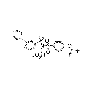 O=C(O)CN(C1(c2cccc(-c3ccccc3)c2)CC1)S(=O)(=O)c1ccc(OC(F)F)cc1